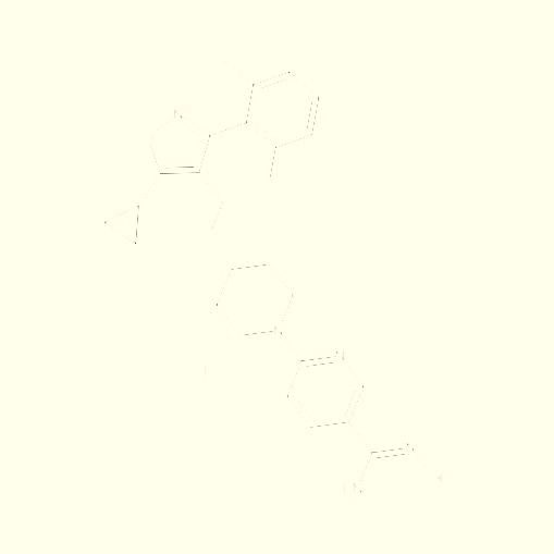 C[C@@H]1C[C@H](OCc2c(-c3c(Cl)cccc3Cl)noc2C2CC2)CCN1c1ccc(/C(N)=N/O)cn1